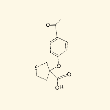 CC(=O)c1ccc(OC2(C(=O)O)CCSC2)cc1